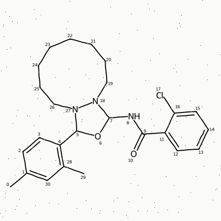 Cc1ccc(C2OC(NC(=O)c3ccccc3Cl)N3CCCCCCCCN23)c(C)c1